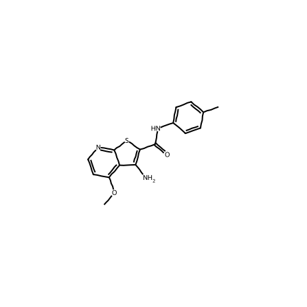 COc1ccnc2sc(C(=O)Nc3ccc(C)cc3)c(N)c12